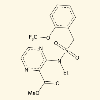 CCN(c1nccnc1C(=O)OC)S(=O)(=O)Cc1ccccc1OC(F)(F)F